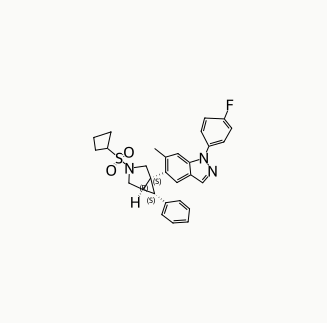 Cc1cc2c(cnn2-c2ccc(F)cc2)cc1[C@@]12CN(S(=O)(=O)C3CCC3)C[C@@H]1[C@H]2c1ccccc1